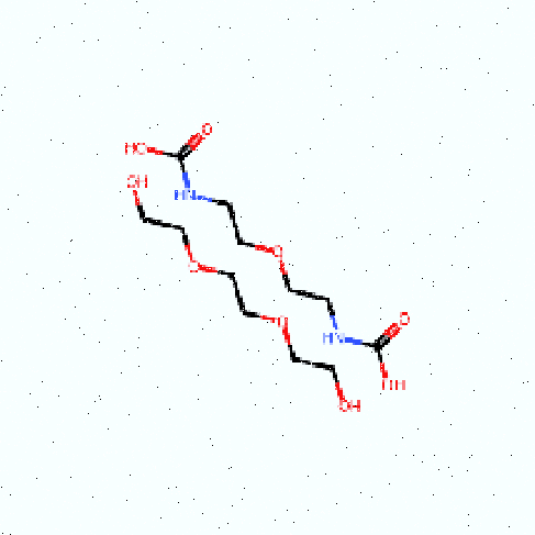 O=C(O)NCCOCCNC(=O)O.OCCOCCOCCO